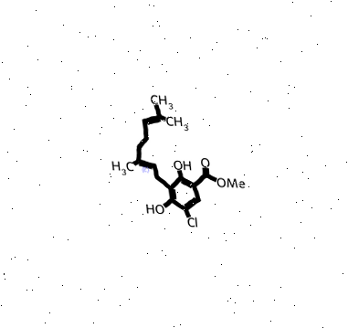 COC(=O)c1cc(Cl)c(O)c(C/C=C(\C)CCC=C(C)C)c1O